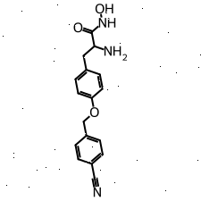 N#Cc1ccc(COc2ccc(CC(N)C(=O)NO)cc2)cc1